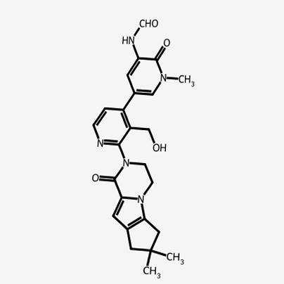 Cn1cc(-c2ccnc(N3CCn4c(cc5c4CC(C)(C)C5)C3=O)c2CO)cc(NC=O)c1=O